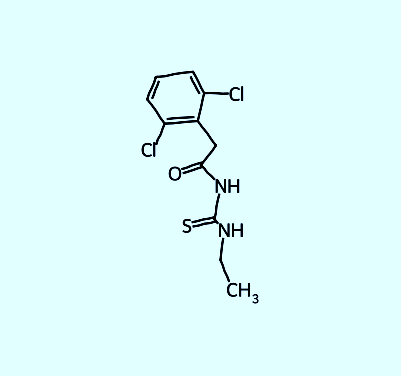 CCNC(=S)NC(=O)Cc1c(Cl)cccc1Cl